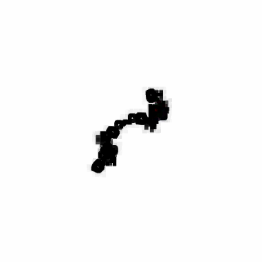 O=C(NC1CC2CCC1C2)C(F)(F)S(=O)(=O)ON=C(c1ccc(OCCCOc2ccc(C(NOS(=O)(=O)C(F)(F)C(=O)NC3CC4CCC3C4)C(F)(F)F)cc2)cc1)C(F)(F)F